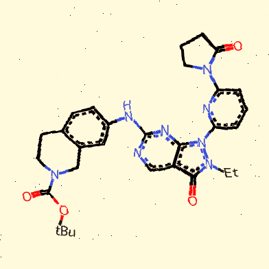 CCn1c(=O)c2cnc(Nc3ccc4c(c3)CN(C(=O)OC(C)(C)C)CC4)nc2n1-c1cccc(N2CCCC2=O)n1